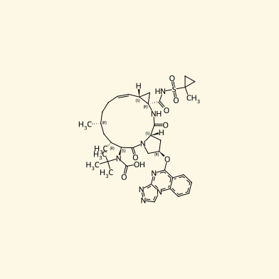 C[C@@H]1CCC=C[C@@H]2C[C@@]2(C(=O)NS(=O)(=O)C2(C)CC2)NC(=O)[C@@H]2C[C@@H](Oc3nc4nncn4c4ccccc34)CN2C(=O)[C@@H](N(C(=O)O)C(C)(C)C)[C@H](C)C1